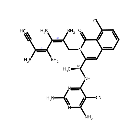 B/C(C#C)=C(B)/C(B)=C(/B)Cn1c([C@H](C)Nc2nc(N)nc(N)c2C#N)cc2cccc(Cl)c2c1=O